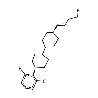 FCCC=C[C@H]1CC[C@H]([C@H]2CC[C@H](c3c(F)cccc3Cl)CC2)CC1